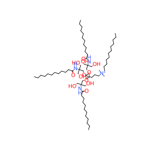 CCCCCCCCCCCC[N+](C)(C)CCC[Si](OCC(CO)(CO)NC(=O)CCCCCCCCCCC)(OCC(CO)(CO)NC(=O)CCCCCCCCCCC)OCC(CO)(CO)NC(=O)CCCCCCCCCCC